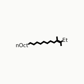 CCCCCCCCCCCCCCCC/C(C)=C(\C)CC